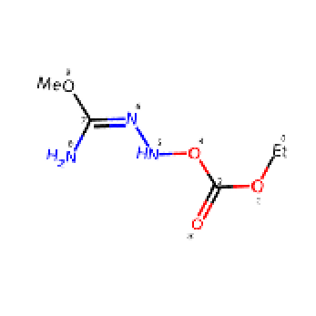 CCOC(=O)ONN=C(N)OC